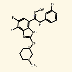 CN1CCC[C@@H](Nc2nc3c(F)c(F)cc(/C(=N/O)Nc4cccc(Cl)c4)c3[nH]2)C1